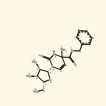 NC1(C(=O)OCc2ccccc2)C=CN([C@@H]2O[C@H](CO)[C@@H](O)[C@H]2O)C(=O)N1